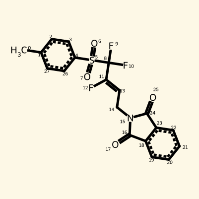 Cc1ccc(S(=O)(=O)C(F)(F)/C(F)=C/CN2C(=O)c3ccccc3C2=O)cc1